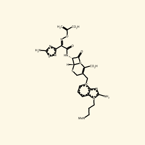 C=C(O/N=C(\C(=O)N[C@@H]1C(=O)N2C(C(=O)O)=C(C[n+]3cccc4c3nc(N)n4CCCNC)CS[C@H]12)c1nsc(N)n1)C(=O)O